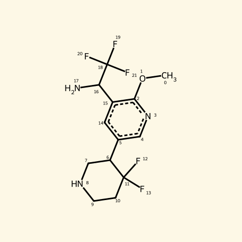 COc1ncc(C2CNCCC2(F)F)cc1C(N)C(F)(F)F